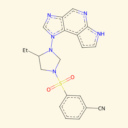 CCC1CN(S(=O)(=O)c2cccc(C#N)c2)CN1n1cnc2cnc3[nH]ccc3c21